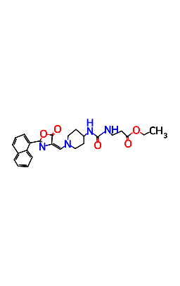 CCOC(=O)CCNC(=O)NC1CCN(/C=C2/N=C(c3cccc4ccccc34)OC2=O)CC1